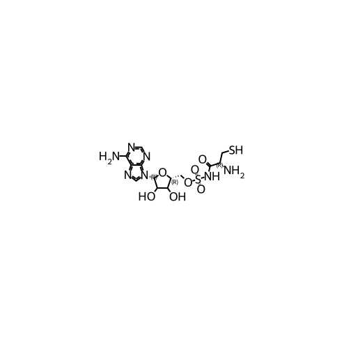 Nc1ncnc2c1ncn2[C@@H]1O[C@H](COS(=O)(=O)NC(=O)[C@@H](N)CS)C(O)C1O